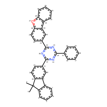 CC1(C)c2ccccc2-c2cc(-c3nc(-c4ccccc4)nc(-c4ccc5oc6ccccc6c5c4)n3)ccc21